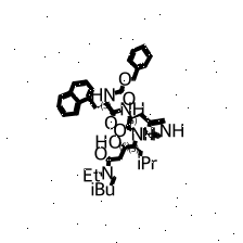 CCC(C)CN(CC)C(=O)C[C@H](O)[C@H](CC(C)C)NC(=O)[C@H](Cc1c[nH]cn1)NC(=O)[C@H](Cc1cccc2ccccc12)NC(=O)OCc1ccccc1